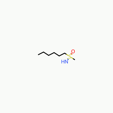 CCCCCCS(C)(=N)=O